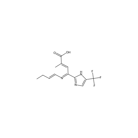 CC/C=C/N=C(\C=C(/C)C(=O)O)c1ncc(C(F)(F)F)[nH]1